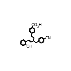 N#Cc1ccc(CC(/C=C/c2ccccc2O)CCc2ccc(C(=O)O)cc2)cc1